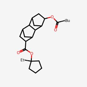 CCC(C)C(=O)OC1CC2CC1C1C3CC(CC3C(=O)OC3(CC)CCCC3)C21